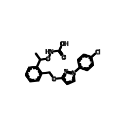 CC(ONC(=O)O)c1ccccc1COc1ccn(-c2ccc(Cl)cc2)n1